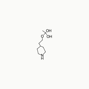 CC(O)(O)OCCC1CCNCC1